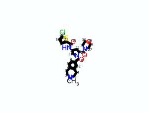 CN1CCc2ccc(C(=O)N3C[C@H](NC(=O)c4ccc(Cl)s4)C[C@H]3C(=O)N3CCOCC3)cc2CC1